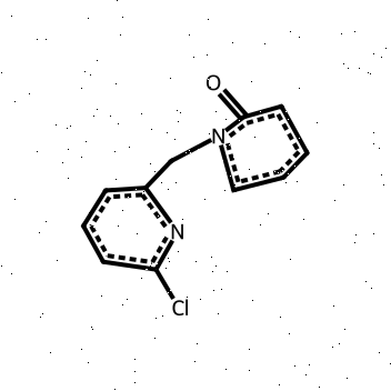 O=c1ccccn1Cc1cccc(Cl)n1